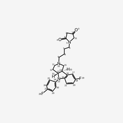 O=C1CC(=O)N(CCCCN2CC[C@@H]3[C@@H](C2)c2cc(F)ccc2N3c2ccc(F)cc2)C1